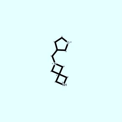 C1CC(CN2CC3(CNC3)C2)CO1